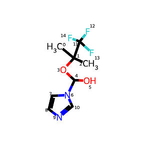 CC(C)(OC(O)n1ccnc1)C(F)(F)F